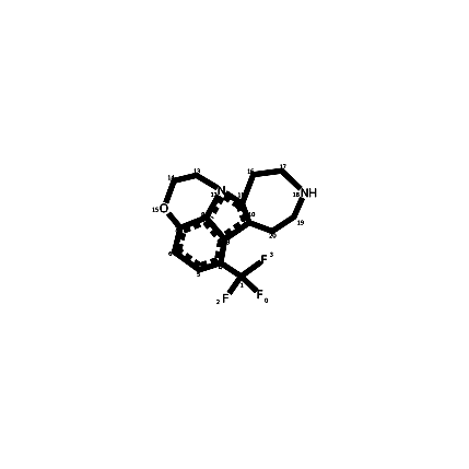 FC(F)(F)c1ccc2c3c1c1c(n3CCO2)CCNCC1